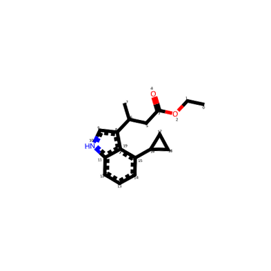 CCOC(=O)CC(C)c1c[nH]c2cccc(C3CC3)c12